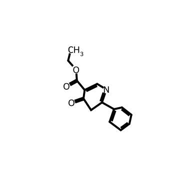 CCOC(=O)C1=CN=C(c2ccccc2)CC1=O